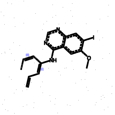 C=C/C=C(\C=C/C)Nc1ncnc2cc(I)c(OC)cc12